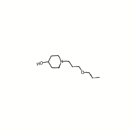 CCCOCCCN1CCC(O)CC1